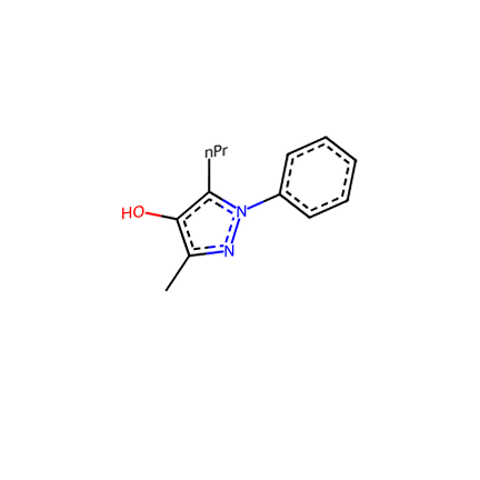 CCCc1c(O)c(C)nn1-c1ccccc1